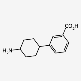 NC1CCC(c2cccc(C(=O)O)c2)CC1